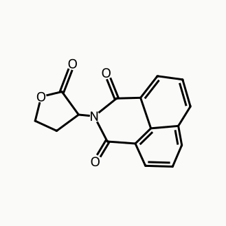 O=C1OCCC1N1C(=O)c2cccc3cccc(c23)C1=O